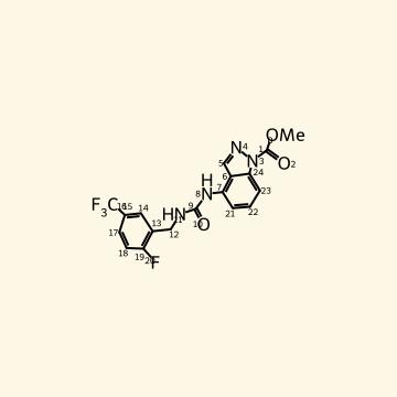 COC(=O)n1ncc2c(NC(=O)NCc3cc(C(F)(F)F)ccc3F)cccc21